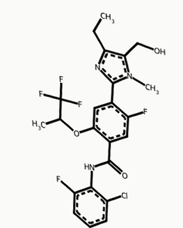 CCc1nc(-c2cc(OC(C)C(F)(F)F)c(C(=O)Nc3c(F)cccc3Cl)cc2F)n(C)c1CO